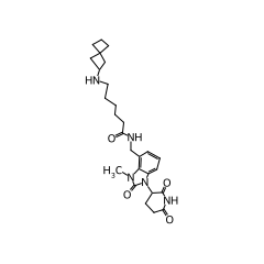 Cn1c(=O)n(C2CCC(=O)NC2=O)c2cccc(CNC(=O)CCCCCNC3CC4(CCC4)C3)c21